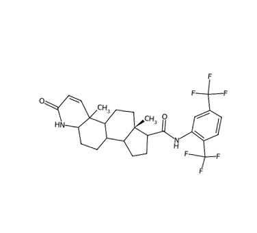 CC12C=CC(=O)NC1CCC1C2CC[C@]2(C)C(C(=O)Nc3cc(C(F)(F)F)ccc3C(F)(F)F)CCC12